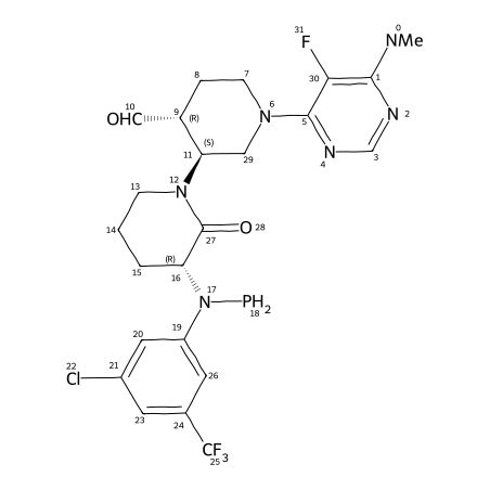 CNc1ncnc(N2CC[C@@H](C=O)[C@H](N3CCC[C@@H](N(P)c4cc(Cl)cc(C(F)(F)F)c4)C3=O)C2)c1F